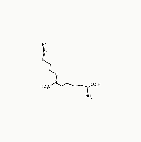 [N-]=[N+]=NCCON(CCCC[C@H](N)C(=O)O)C(=O)O